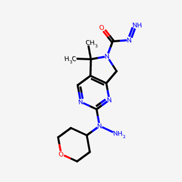 CC1(C)c2cnc(N(N)C3CCOCC3)nc2CN1C(=O)N=N